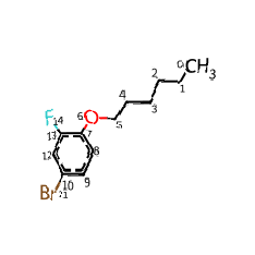 CCCCCCOc1ccc(Br)cc1F